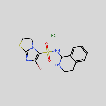 Cl.O=S(=O)(NC1NCCc2ccccc21)c1c(Br)nc2n1CCS2